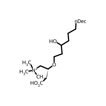 CCCCCCCCCCCCCC(O)CCO[C@H](CC(=O)O)C[N+](C)(C)C